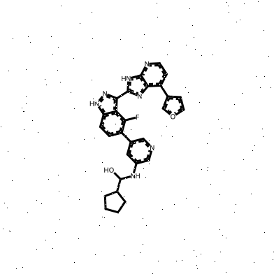 OC(Nc1cncc(-c2ccc3[nH]nc(-c4nc5c(-c6ccoc6)ccnc5[nH]4)c3c2F)c1)C1CCCC1